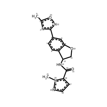 Cc1nc(-c2ccc3c(c2)OCC3NC(=O)c2ccnn2C)no1